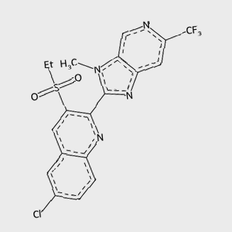 CCS(=O)(=O)c1cc2cc(Cl)ccc2nc1-c1nc2cc(C(F)(F)F)ncc2n1C